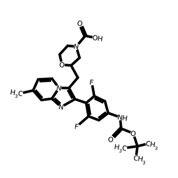 Cc1ccn2c(CC3CN(C(=O)O)CCO3)c(-c3c(F)cc(NC(=O)OC(C)(C)C)cc3F)nc2c1